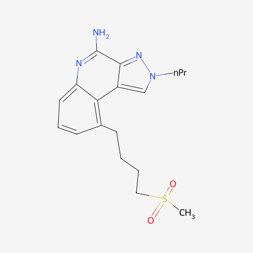 CCCn1cc2c(n1)c(N)nc1cccc(CCCCS(C)(=O)=O)c12